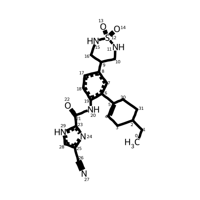 CCC1CC=C(c2cc(C3CNS(=O)(=O)NC3)ccc2NC(=O)c2nc(C#N)c[nH]2)CC1